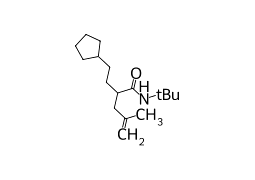 C=C(C)CC(CCC1CCCC1)C(=O)NC(C)(C)C